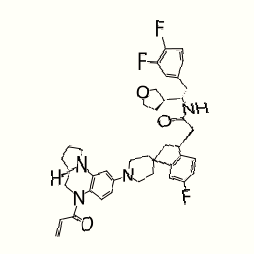 C=CC(=O)N1C[C@@H]2CCCN2c2cc(N3CCC4(CC3)C[C@@H](CC(=O)N[C@@H](Cc3ccc(F)c(F)c3)[C@H]3CCOC3)c3ccc(F)cc34)ccc21